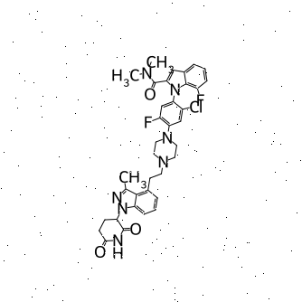 Cc1nn(C2CCC(=O)NC2=O)c2cccc(CCN3CCN(c4cc(Cl)c(-n5c(C(=O)N(C)C)cc6cccc(F)c65)cc4F)CC3)c12